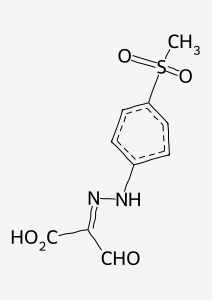 CS(=O)(=O)c1ccc(N/N=C(\C=O)C(=O)O)cc1